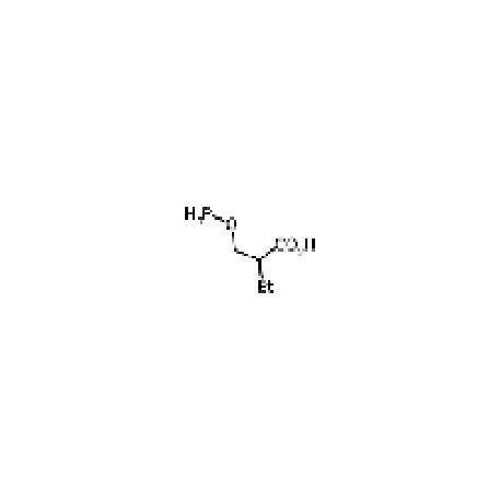 CCC(COP)C(=O)O